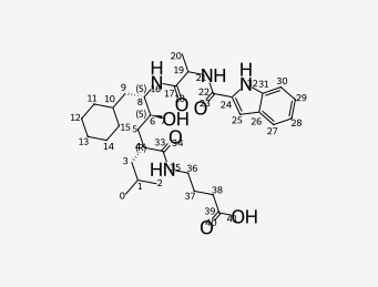 CC(C)C[C@H](C[C@H](O)[C@H](CC1CCCCC1)NC(=O)C(C)NC(=O)c1cc2ccccc2[nH]1)C(=O)NCCCC(=O)O